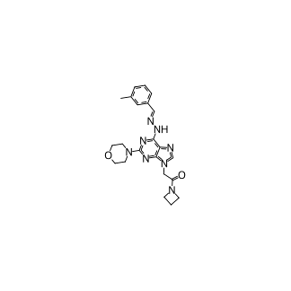 Cc1cccc(/C=N/Nc2nc(N3CCOCC3)nc3c2ncn3CC(=O)N2CCC2)c1